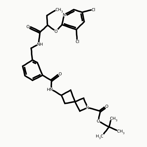 CCC(Oc1ncc(Cl)cc1Cl)C(=O)NCc1cccc(C(=O)NC2CC3(C2)CN(C(=O)OC(C)(C)C)C3)c1